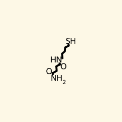 NC(=O)CCC(=O)NCCCCCS